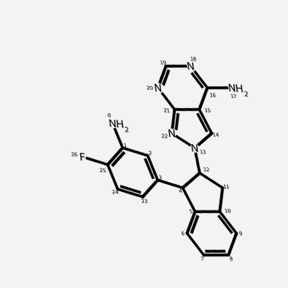 Nc1cc(C2c3ccccc3CC2n2cc3c(N)ncnc3n2)ccc1F